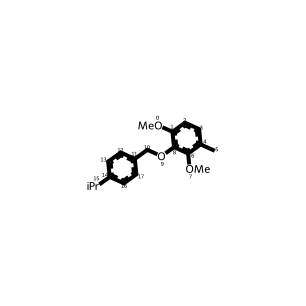 COc1ccc(C)c(OC)c1OCc1ccc(C(C)C)cc1